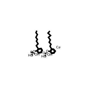 CCCCCCCCc1ccccc1OP(=O)(O)O.CCCCCCCCc1ccccc1OP(=O)(O)O.[Ca]